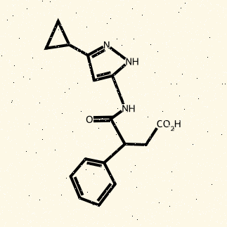 O=C(O)CC(C(=O)Nc1cc(C2CC2)n[nH]1)c1ccccc1